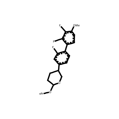 CCCOC1CCC(c2ccc(-c3ccc(OC)c(F)c3F)c(F)c2)CO1